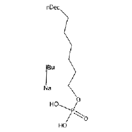 CCCCCCCCCCCCCCCCOP(=O)(O)O.CC[CH](C)[Na]